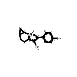 Fc1ccc(-c2nn3c(c2Br)CCC2CC23)cc1